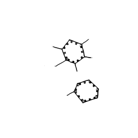 Clc1cc(Cl)c(Cl)c(Cl)c1Cl.Oc1ccccc1.S